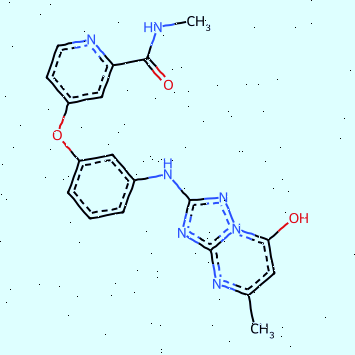 CNC(=O)c1cc(Oc2cccc(Nc3nc4nc(C)cc(O)n4n3)c2)ccn1